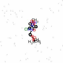 CC(C)(C)OC(=O)COc1cccc(CCNC(=O)[C@@H]2c3ccccc3C(=O)N([C@H]3CCCC[C@@H]3NS(C)(=O)=O)[C@H]2c2ccc(Cl)cc2)c1